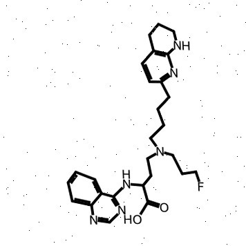 O=C(O)C(CCN(CCCF)CCCCc1ccc2c(n1)NCCC2)Nc1ncnc2ccccc12